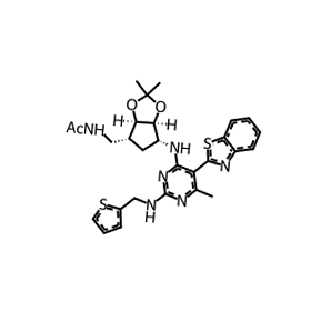 CC(=O)NC[C@H]1C[C@@H](Nc2nc(NCc3cccs3)nc(C)c2-c2nc3ccccc3s2)[C@@H]2OC(C)(C)O[C@H]12